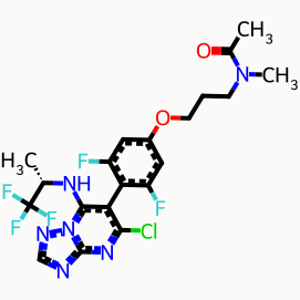 CC(=O)N(C)CCCOc1cc(F)c(-c2c(Cl)nc3ncnn3c2N[C@@H](C)C(F)(F)F)c(F)c1